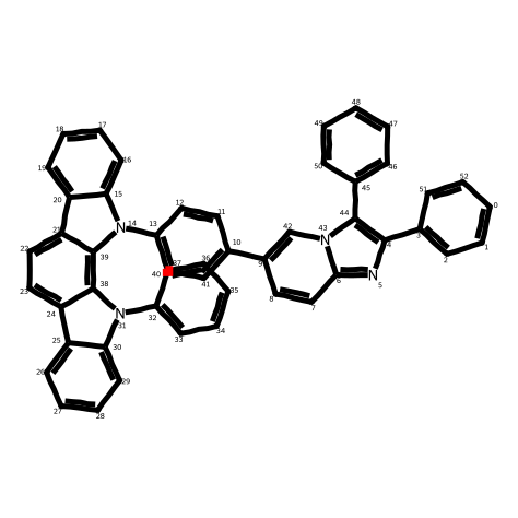 c1ccc(-c2nc3ccc(-c4ccc(-n5c6ccccc6c6ccc7c8ccccc8n(-c8ccccc8)c7c65)cc4)cn3c2-c2ccccc2)cc1